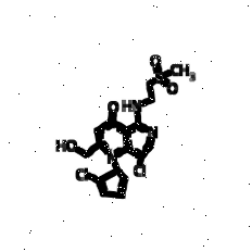 CS(=O)(=O)CCNc1ncc(Cl)c2c1c(=O)cc(CO)n2C1C=CC=C1Cl